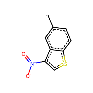 [CH2]c1ccc2scc([N+](=O)[O-])c2c1